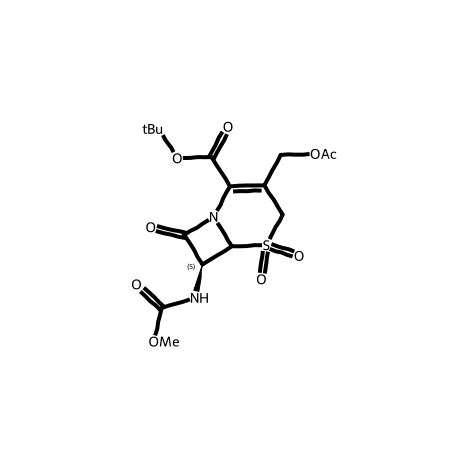 COC(=O)N[C@H]1C(=O)N2C(C(=O)OC(C)(C)C)=C(COC(C)=O)CS(=O)(=O)C12